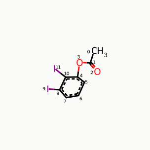 CC(=O)Oc1cccc(I)c1I